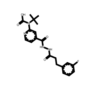 CC(C)(C)N(C(=O)O)c1cc(C(=O)NNC(=O)CCc2cccc(F)c2)ccn1